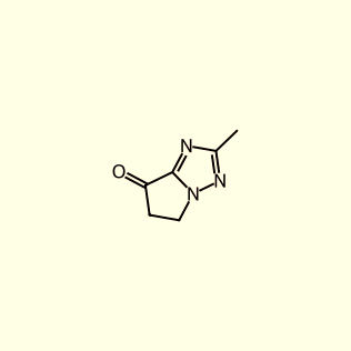 Cc1nc2n(n1)CCC2=O